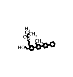 C=C(C)C(=O)OCCCc1cc(-c2ccc(-c3ccc(C4CCCCC4)cc3)cc2CC)ccc1CCO